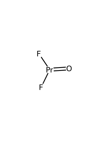 [O]=[Pr]([F])[F]